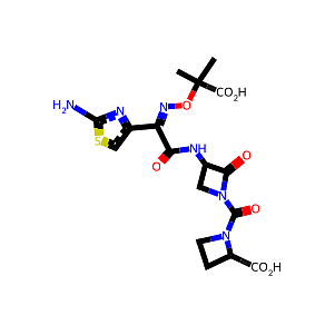 CC(C)(ON=C(C(=O)NC1CN(C(=O)N2CCC2C(=O)O)C1=O)c1csc(N)n1)C(=O)O